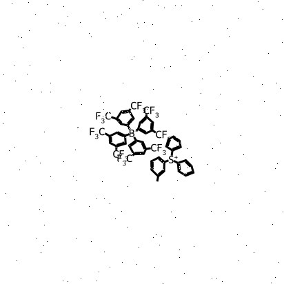 Cc1cccc([S+](c2ccccc2)c2ccccc2)c1.FC(F)(F)c1cc([B-](c2cc(C(F)(F)F)cc(C(F)(F)F)c2)(c2cc(C(F)(F)F)cc(C(F)(F)F)c2)c2cc(C(F)(F)F)cc(C(F)(F)F)c2)cc(C(F)(F)F)c1